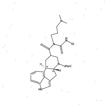 CCCCCN1CC(C(=O)N(CCCN(C)C)C(=O)NCC)C[C@@H]2c3cccc4[nH]cc(c34)C[C@H]21